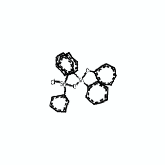 [Cl][Sn]([O][Sn]([O]c1ccccc1)([c]1ccccc1)[c]1ccccc1)([c]1ccccc1)[c]1ccccc1